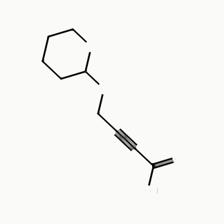 O=C(O)C#CCOC1CCCCO1